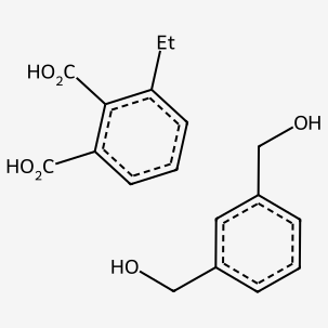 CCc1cccc(C(=O)O)c1C(=O)O.OCc1cccc(CO)c1